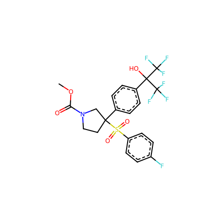 COC(=O)N1CCC(c2ccc(C(O)(C(F)(F)F)C(F)(F)F)cc2)(S(=O)(=O)c2ccc(F)cc2)C1